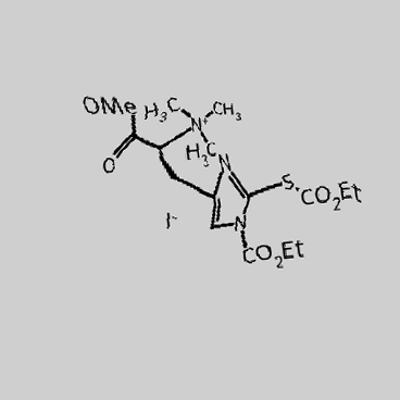 CCOC(=O)Sc1nc(C[C@@H](C(=O)OC)[N+](C)(C)C)cn1C(=O)OCC.[I-]